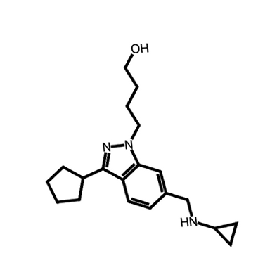 OCCCCn1nc(C2CCCC2)c2ccc(CNC3CC3)cc21